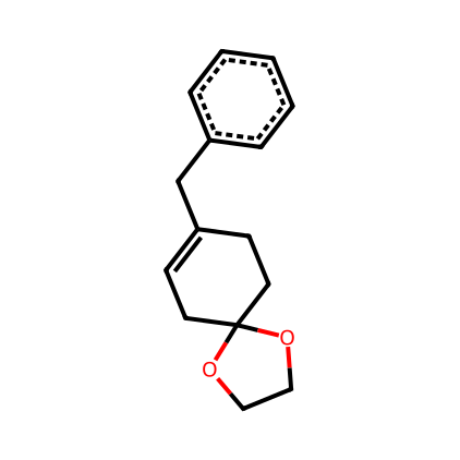 C1=C(Cc2ccccc2)CCC2(C1)OCCO2